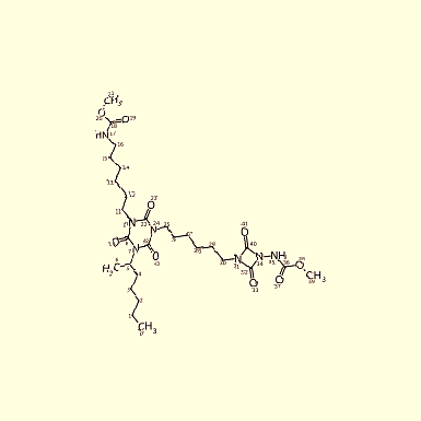 CCCCCC(C)n1c(=O)n(CCCCCCNC(=O)OC)c(=O)n(CCCCCCN2C(=O)N(NC(=O)OC)C2=O)c1=O